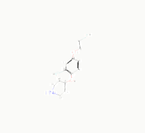 FCCOc1ccc(OC2CCNCC2)c(F)c1